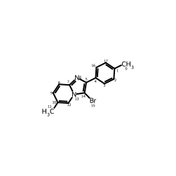 Cc1ccc(-c2nc3ccc(C)cn3c2Br)cc1